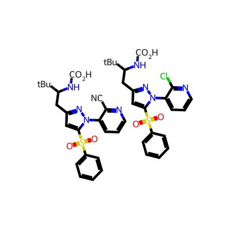 CC(C)(C)C(Cc1cc(S(=O)(=O)c2ccccc2)n(-c2cccnc2C#N)n1)NC(=O)O.CC(C)(C)C(Cc1cc(S(=O)(=O)c2ccccc2)n(-c2cccnc2Cl)n1)NC(=O)O